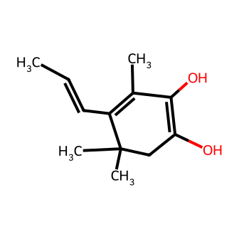 C/C=C/C1=C(C)C(O)=C(O)CC1(C)C